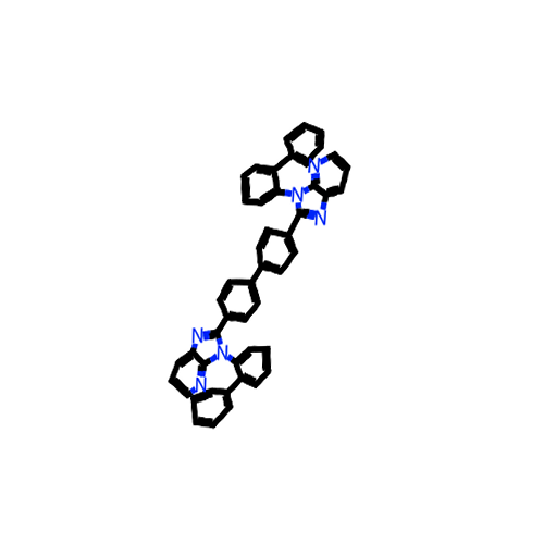 c1ccc(-c2ccccc2-n2c(-c3ccc(-c4ccc(-c5nc6cccnc6n5-c5ccccc5-c5ccccc5)cc4)cc3)nc3cccnc32)cc1